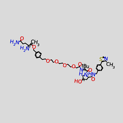 Cc1ncsc1-c1ccc(CNC(=O)C2C[C@@H](O)CN2C(=O)[C@@H](NC(=O)COCCOCCOCCOCCc2ccc(CO[C@H](C)[C@@H](N)CCC(N)=O)cc2)C(C)(C)C)cc1